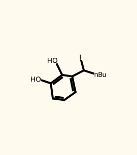 CCCCC(I)c1cccc(O)c1O